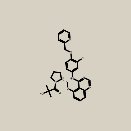 CC(C)(O)C(=O)N1CCC[C@@H]1COc1cccc2ncnc(Nc3ccc(OCc4ccccn4)c(Cl)c3)c12